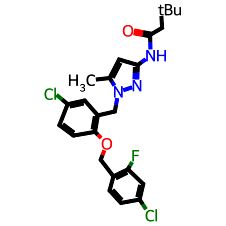 Cc1cc(NC(=O)CC(C)(C)C)nn1Cc1cc(Cl)ccc1OCc1ccc(Cl)cc1F